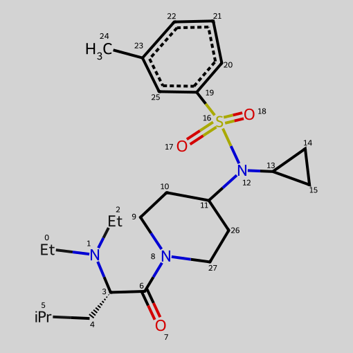 CCN(CC)[C@@H](CC(C)C)C(=O)N1CCC(N(C2CC2)S(=O)(=O)c2cccc(C)c2)CC1